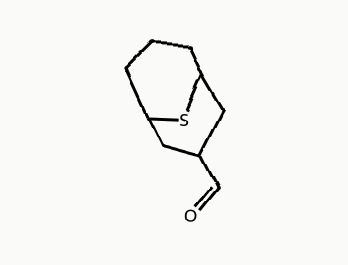 O=CC1CC2CCCC(C1)S2